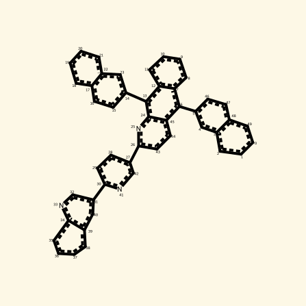 c1ccc2cc(-c3c4ccccc4c(-c4ccc5ccccc5c4)c4nc(-c5ccc(-c6cnc7ccccc7c6)nc5)ccc34)ccc2c1